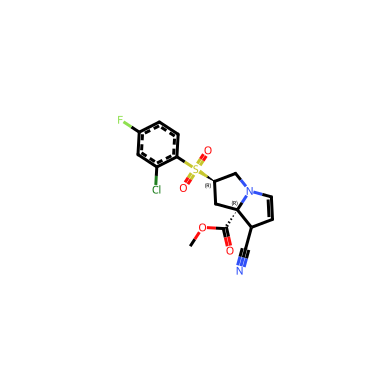 COC(=O)[C@]12C[C@@H](S(=O)(=O)c3ccc(F)cc3Cl)CN1C=CC2C#N